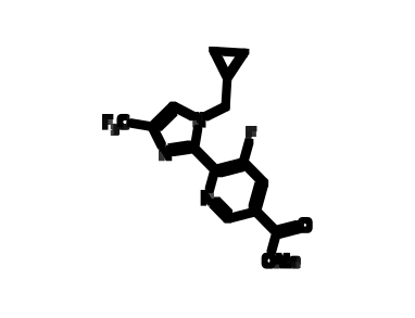 COC(=O)c1cnc(-c2nc(C(F)(F)F)cn2CC2CC2)c(F)c1